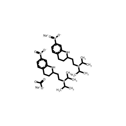 CC(C)N(CCC1CCc2ccc([N+](=O)[O-])cc2N1)C(C)C.CC(C)N(CCC1CCc2ccc([N+](=O)[O-])cc2N1)C(C)C.O=C([O-])[O-].[Na+].[Na+]